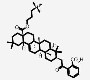 CC1(C)CC[C@]2(C(=O)OCCC[N+](C)(C)C)CC[C@]3(C)C(=CC[C@@H]4[C@@]5(C)CC[C@H](CC(=O)c6ccccc6C(=O)O)C(C)(C)[C@@H]5CC[C@]43C)[C@@H]2C1